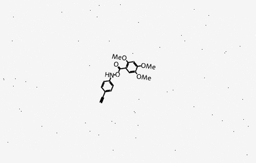 C#Cc1ccc(NOC(=O)c2cc(OC)c(OC)cc2OC)cc1